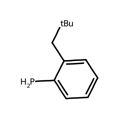 CC(C)(C)Cc1ccccc1P